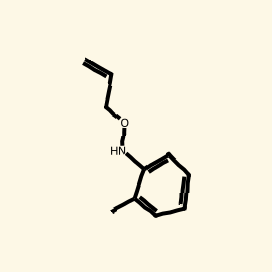 C=CCONc1ccccc1C